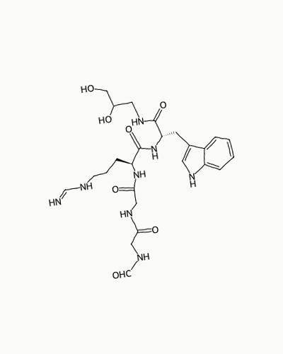 N=CNCCC[C@H](NC(=O)CNC(=O)CNC=O)C(=O)N[C@@H](Cc1c[nH]c2ccccc12)C(=O)NCC(O)CO